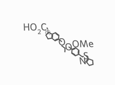 COc1cc(-c2nc3c(s2)CCC3)ccc1OC(C)COc1ccc2c(c1)CC[C@H]2CC(=O)O